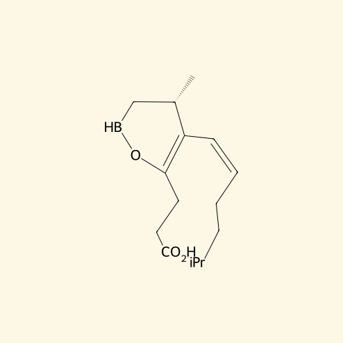 CC(C)CC/C=C\C1=C(CCC(=O)O)OBC[C@@H]1C